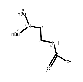 CCCCN(CCCC)CCNC(=O)CC